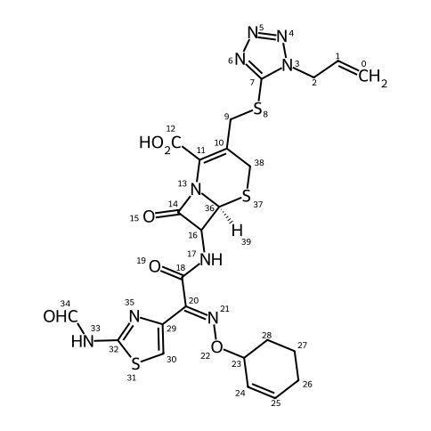 C=CCn1nnnc1SCC1=C(C(=O)O)N2C(=O)C(NC(=O)C(=NOC3C=CCCC3)c3csc(NC=O)n3)[C@@H]2SC1